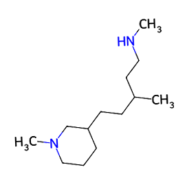 CNCCC(C)CCC1CCCN(C)C1